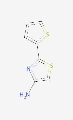 Nc1csc(-c2cccs2)n1